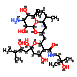 CC(C)/C=C/[C@@H](C[C@@H]1O[C@](O)(C[C@@H](O)C(C)C)C[C@H](O)C1C(=O)NCC(C)(C)O)OC1OC(C)C(O)C(N)C1O